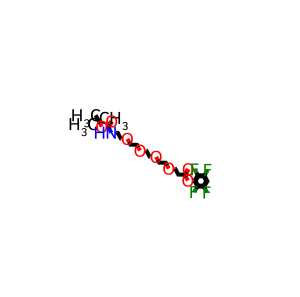 CC(C)(C)OC(=O)NCCOCCOCCOCCOCCC(=O)Oc1c(F)c(F)cc(F)c1F